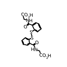 O=C(O)CNC(=O)c1ccccc1SSc1ccccc1C(=O)NCC(=O)O